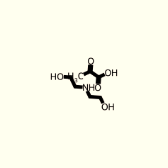 CC(=O)C(=O)O.OCCNCCO